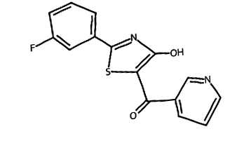 O=C(c1cccnc1)c1sc(-c2cccc(F)c2)nc1O